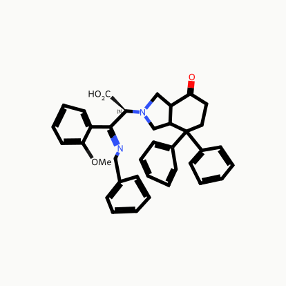 COc1ccccc1C(=NCc1ccccc1)[C@@H](C(=O)O)N1CC2C(=O)CCC(c3ccccc3)(c3ccccc3)C2C1